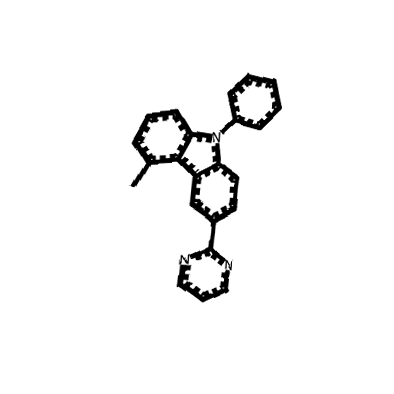 Cc1cccc2c1c1cc(-c3ncccn3)ccc1n2-c1ccccc1